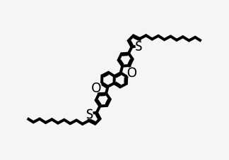 CCCCCCCCCCc1ccc(-c2ccc3c(c2)oc2ccc4c(ccc5oc6cc(-c7ccc(CCCCCCCCCC)s7)ccc6c54)c23)s1